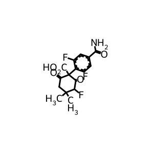 CC1(C)CC(=O)C(C(=O)O)(c2c(F)cc(C(N)=O)cc2F)C(=O)C1F